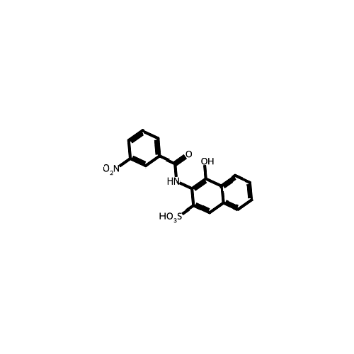 O=C(Nc1c(S(=O)(=O)O)cc2ccccc2c1O)c1cccc([N+](=O)[O-])c1